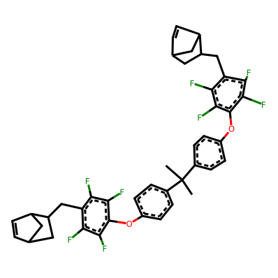 CC(C)(c1ccc(Oc2c(F)c(F)c(CC3CC4C=CC3C4)c(F)c2F)cc1)c1ccc(Oc2c(F)c(F)c(CC3CC4C=CC3C4)c(F)c2F)cc1